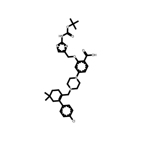 CC1(C)CCC(CN2CCN(c3ccc(C(=O)O)c(OCc4csc(NC(=O)OC(C)(C)C)n4)c3)CC2)=C(c2ccc(Cl)cc2)C1